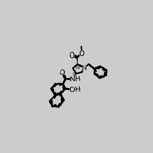 COC(=O)[C@@H]1C[C@H](NC(=O)c2ccc3ccccc3c2O)CN1Cc1ccccc1